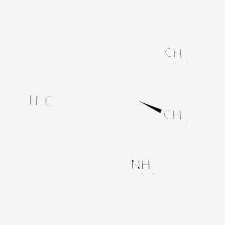 C/C=C(\CN)[C@H](C)CC